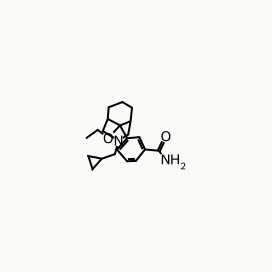 CCOC1(c2cccc(C(N)=O)c2)C2CCCC1CN(CC1CC1)C2